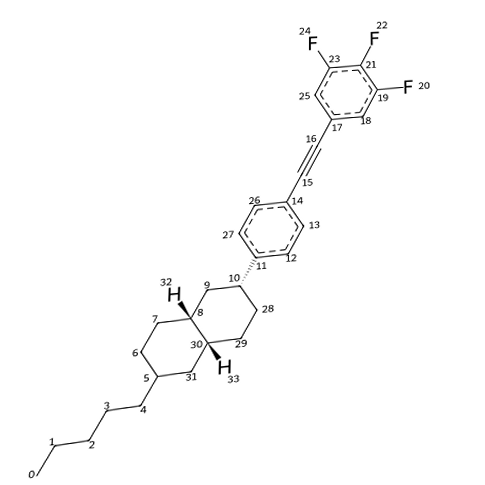 CCCCCC1CC[C@@H]2C[C@H](c3ccc(C#Cc4cc(F)c(F)c(F)c4)cc3)CC[C@@H]2C1